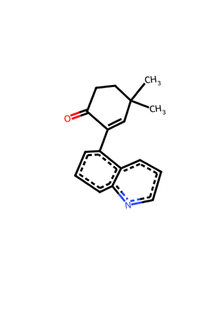 CC1(C)C=C(c2cccc3ncccc23)C(=O)CC1